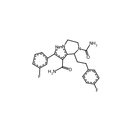 NC(=O)c1c(-c2cccc(F)c2)nn2c1C(CCc1ccc(F)cc1)N(C(N)=O)CC2